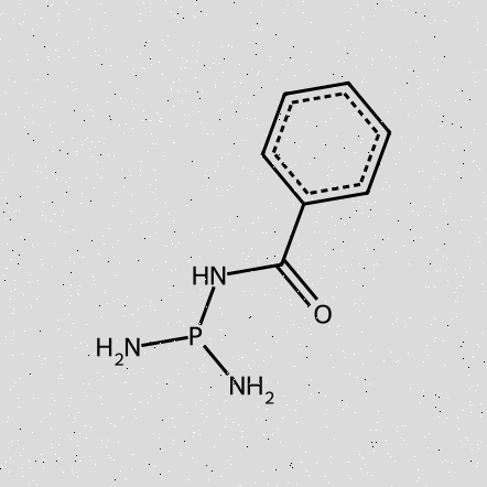 NP(N)NC(=O)c1ccccc1